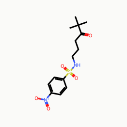 CC(C)(C)C(=O)CCCNS(=O)(=O)c1ccc([N+](=O)[O-])cc1